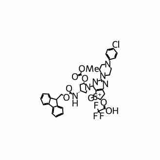 COC(=O)O[C@H]1C[C@@H](NC(=O)OCC2c3ccccc3-c3ccccc32)CN1c1nc(N2CCN(c3ccc(Cl)cc3)CC2)nc2c1[S+]([O-])CC2.O=C(O)C(F)(F)F